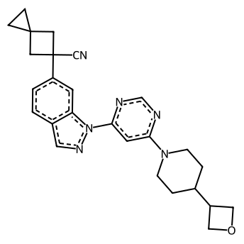 N#CC1(c2ccc3cnn(-c4cc(N5CCC(C6COC6)CC5)ncn4)c3c2)CC2(CC2)C1